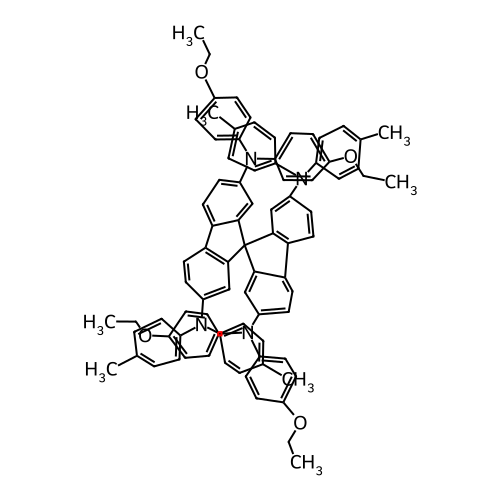 CCOc1ccc(N(c2ccc(OCC)cc2)c2ccc3c(c2)C2(c4cc(N(c5ccc(C)cc5)c5ccc(C)cc5)ccc4-3)c3cc(N(c4ccc(C)cc4)c4ccc(C)cc4)ccc3-c3ccc(N(c4ccc(OCC)cc4)c4ccc(OCC)cc4)cc32)cc1